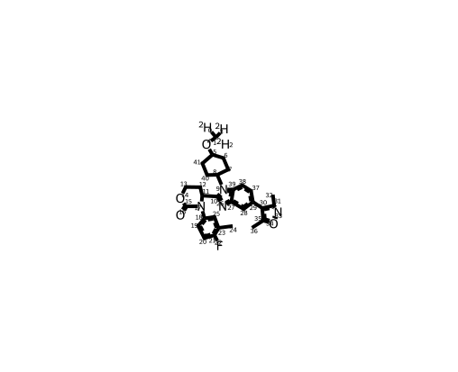 [2H]C([2H])([2H])OC1CCC(n2c(C3CCOC(=O)N3c3ccc(F)c(C)c3)nc3cc(-c4c(C)noc4C)ccc32)CC1